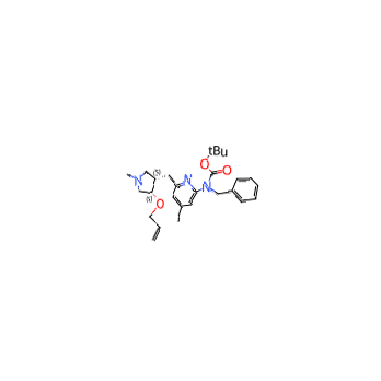 C=CCO[C@@H]1CN(C)C[C@@H]1Cc1cc(C)cc(N(Cc2ccccc2)C(=O)OC(C)(C)C)n1